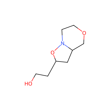 OCCC1CC2COCCN2O1